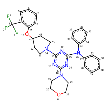 FC(F)(F)c1ccccc1OC1CCN(c2nc(N3CCOCC3)nc(N(c3ccccc3)c3ccccc3)n2)CC1